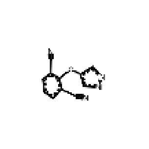 N#Cc1cccc(C#N)c1Oc1cn[nH]c1